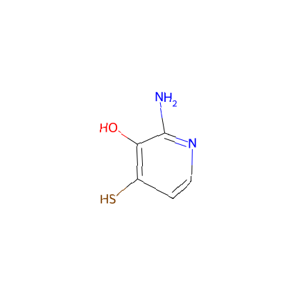 Nc1nccc(S)c1O